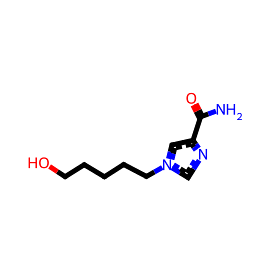 NC(=O)c1cn(CCCCCO)cn1